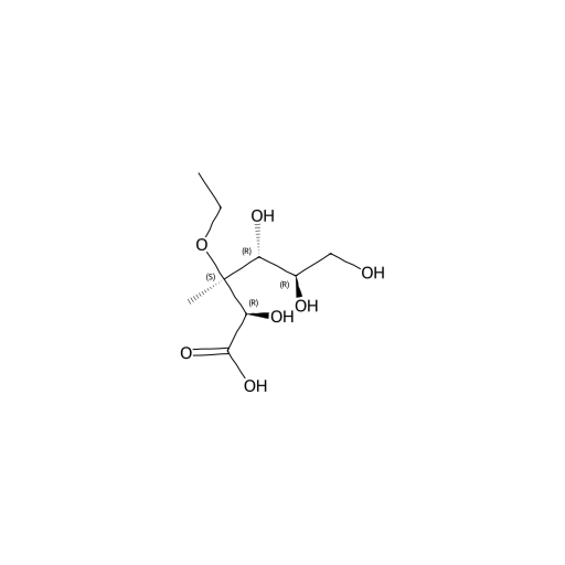 CCO[C@@](C)([C@H](O)[C@H](O)CO)[C@@H](O)C(=O)O